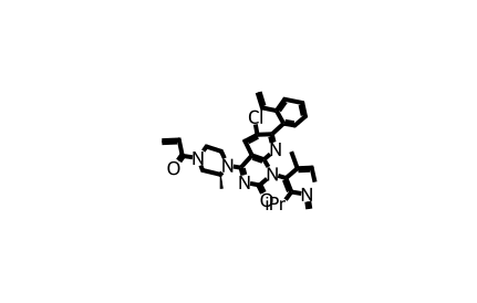 C=CC(=O)N1CCN(c2nc(=O)n(C(/C(C)=C\C)=C(/N=C)C(C)C)c3nc(-c4ccccc4C=C)c(Cl)cc23)[C@@H](C)C1